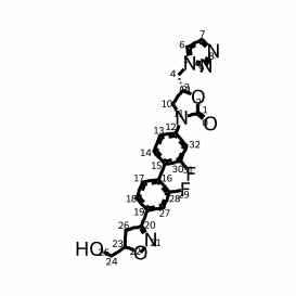 O=C1O[C@@H](Cn2ccnn2)CN1c1ccc(-c2ccc(C3=NOC(CO)C3)cc2F)c(F)c1